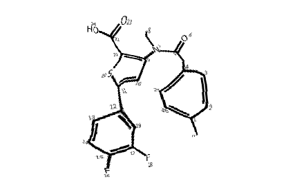 Cc1ccc(C(=O)N(C)c2cc(-c3ccc(F)c(F)c3)sc2C(=O)O)cc1